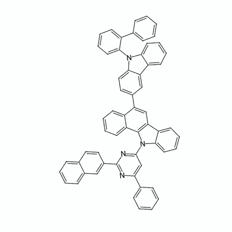 c1ccc(-c2cc(-n3c4ccccc4c4cc(-c5ccc6c(c5)c5ccccc5n6-c5ccccc5-c5ccccc5)c5ccccc5c43)nc(-c3ccc4ccccc4c3)n2)cc1